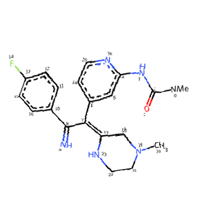 CNC(=O)Nc1cc(/C(C(=N)c2ccc(F)cc2)=C2\CN(C)CCN2)ccn1